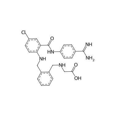 N=C(N)c1ccc(NC(=O)c2cc(Cl)ccc2NCc2ccccc2CNCC(=O)O)cc1